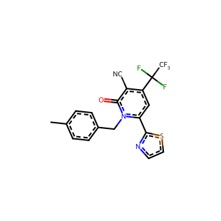 Cc1ccc(Cn2c(-c3nccs3)cc(C(F)(F)C(F)(F)F)c(C#N)c2=O)cc1